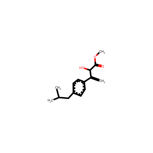 C=C(c1ccc(CC(C)C)cc1)C(O)C(=O)OC